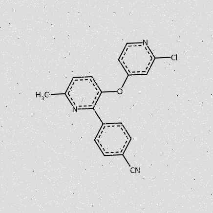 Cc1ccc(Oc2ccnc(Cl)c2)c(-c2ccc(C#N)cc2)n1